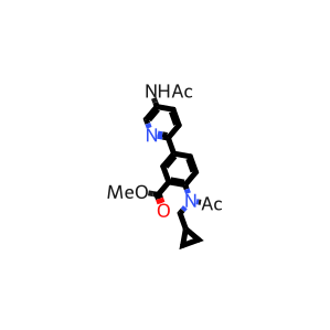 COC(=O)c1cc(-c2ccc(NC(C)=O)cn2)ccc1N(CC1CC1)C(C)=O